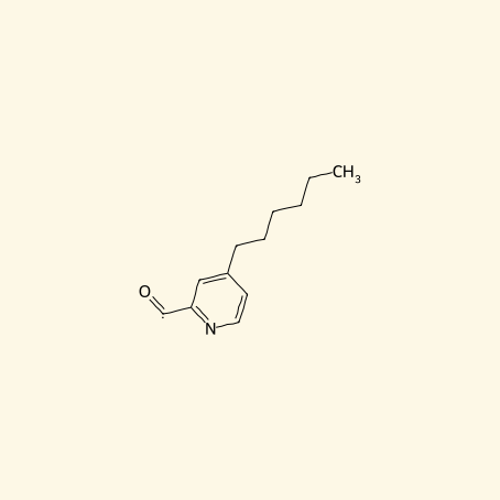 CCCCCCc1ccnc([C]=O)c1